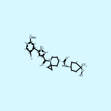 CCO[C@]1(C(F)(F)F)CC[C@@H](NC(=O)[C@H]2CCN(C(=O)c3cc(-c4cc(OC)ncc4F)[nH]n3)C3(CC3)C2)CC1